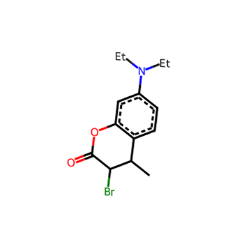 CCN(CC)c1ccc2c(c1)OC(=O)C(Br)C2C